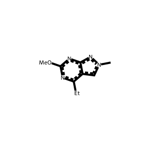 CCc1nc(OC)nc2nn(C)cc12